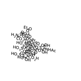 CC(=O)N[C@@H]1[C@@H](O)[C@H](O[C@@H]2O[C@H](C(=O)O)[C@@H](O[C@@H]3O[C@H](CO)[C@@H](O[C@H]4O[C@@H](C(=O)O)[C@H](O)[C@@H](O)[C@@H]4OS(=O)(=O)O)[C@H](OS(=O)(=O)O)[C@H]3NS(=O)(=O)O)[C@H](O)[C@H]2OS(=O)(=O)O)[C@H](COS(=O)(=O)O)O[C@H]1O.CCCC(=O)O[C@H](COC(=O)CC)COP(=O)(O)OC[C@H](N)C(=O)O